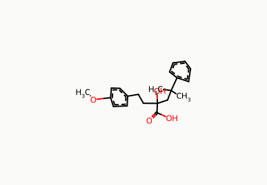 COc1ccc(CCC(O)(CC(C)(C)c2ccccc2)C(=O)O)cc1